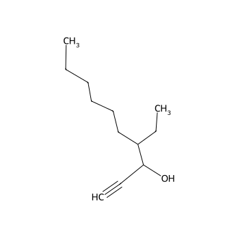 C#CC(O)C(CC)CCCCCC